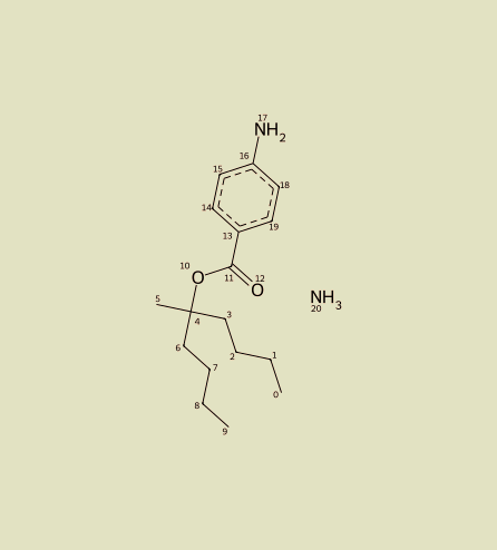 CCCCC(C)(CCCC)OC(=O)c1ccc(N)cc1.N